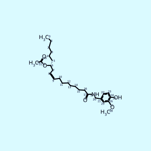 CCCCCC[C@H](C/C=C\CCCCCCCC(=O)NCc1ccc(O)c(OC)c1)OC(C)=O